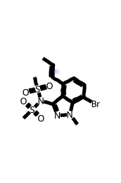 C/C=C/c1ccc(Br)c2c1c(N(S(C)(=O)=O)S(C)(=O)=O)nn2C